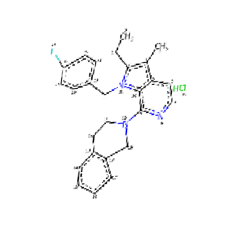 CCc1c(C)c2ccnc(N3CCc4ccccc4C3)c2n1Cc1ccc(F)cc1.Cl